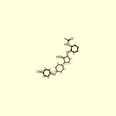 CC(=O)Nc1ccccc1OC1CCC(N2CCC(Oc3ccc(Cl)cc3)CC2)C1O